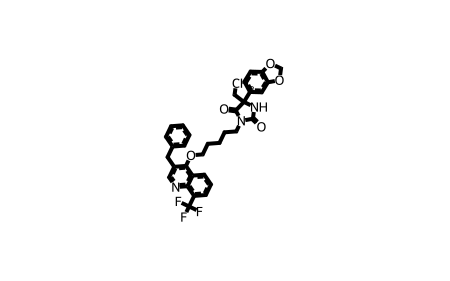 CCC1(c2ccc3c(c2)OCO3)NC(=O)N(CCCCCOc2c(Cc3ccccc3)cnc3c(C(F)(F)F)cccc23)C1=O